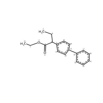 CCOC(=O)C(CC)c1ccc(-c2ccccc2)cc1